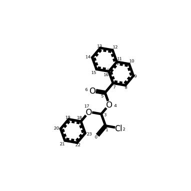 C=C(Cl)C(OC(=O)c1cccc2ccccc12)Oc1ccccc1